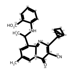 Cc1cc(C(C)Nc2ccccc2C(=O)O)c2nc(N3CC4CC3C4)c(C#N)c(=O)n2c1